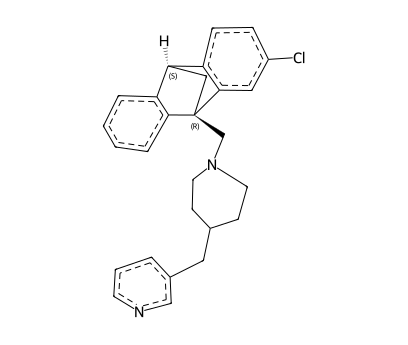 Clc1ccc2c(c1)[C@@]1(CN3CCC(Cc4cccnc4)CC3)C[C@H]2c2ccccc21